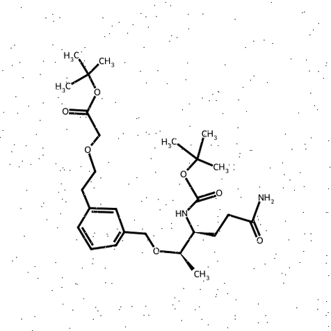 C[C@@H](OCc1cccc(CCOCC(=O)OC(C)(C)C)c1)[C@H](CCC(N)=O)NC(=O)OC(C)(C)C